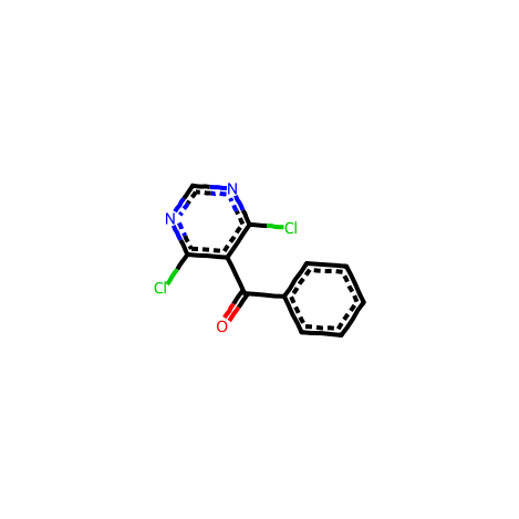 O=C(c1ccccc1)c1c(Cl)ncnc1Cl